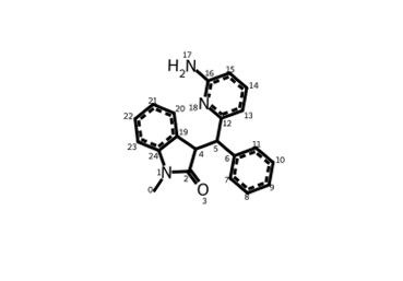 CN1C(=O)C(C(c2ccccc2)c2cccc(N)n2)c2ccccc21